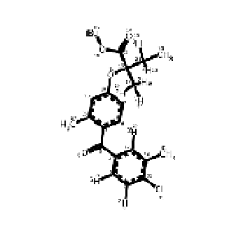 [2H]c1c([2H])c(C(=O)c2ccc(OC(C(=O)OC(C)CC)(C([2H])([2H])[2H])C([2H])([2H])C)cc2C)c([2H])c(C)c1Cl